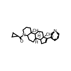 C[C@]12CCCN(C(=O)C3CC3)C1CC[C@@H]1C2CC[C@]2(C)C(c3cccnc3)=CC[C@@H]12